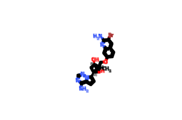 C[C@]1(COc2ccc3cc(Br)c(N)nc3c2)C[C@]2(c3ccc4c(N)ncnn34)C[C@@]1(O)[C@H]2O